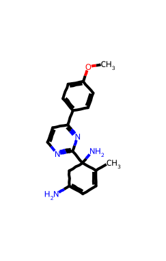 COc1ccc(-c2ccnc(C3(N)CC(N)=CC=C3C)n2)cc1